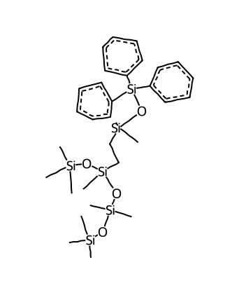 C[Si](C)(C)O[Si](C)(C)O[Si](C)(CC[Si](C)(C)O[Si](c1ccccc1)(c1ccccc1)c1ccccc1)O[Si](C)(C)C